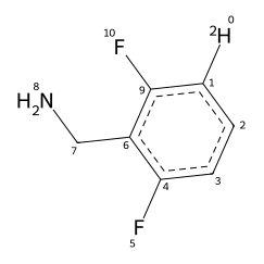 [2H]c1ccc(F)c(CN)c1F